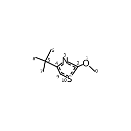 COc1nc(C(C)(C)C)cs1